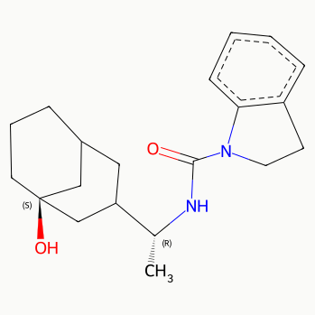 C[C@@H](NC(=O)N1CCc2ccccc21)C1CC2CCC[C@](O)(C2)C1